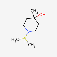 C[SH](C)N1CCC(C)(O)CC1